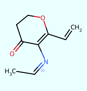 C=CC1=C(/N=C\C)C(=O)CCO1